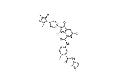 CCn1c2c(C(=O)Nc3ccc(F)c(C(=O)Nc4ccn(C)n4)c3)nc(Cl)cc2c(=O)n1-c1ccc(-c2c(C)on(C)c2=O)cc1